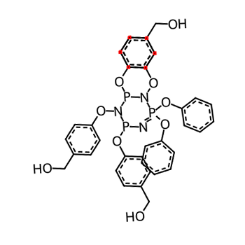 OCc1ccc(ON2P(Oc3ccc(CO)cc3)N=P(Oc3ccccc3)(Oc3ccccc3)N(Oc3ccccc3)P2Oc2ccc(CO)cc2)cc1